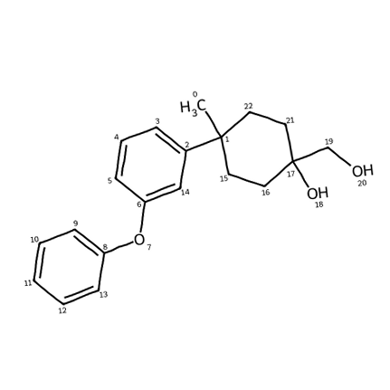 CC1(c2cccc(Oc3ccccc3)c2)CCC(O)(CO)CC1